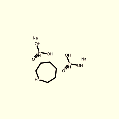 C1CCCNCC1.O=[PH](O)O.O=[PH](O)O.[Na].[Na]